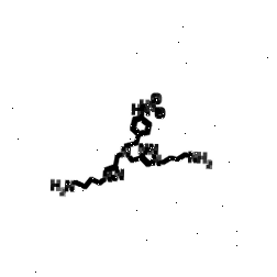 NCCCCn1cnc(CN(CCc2ccc(N[SH](=O)=O)cc2)Cc2cn(CCCCN)nn2)c1